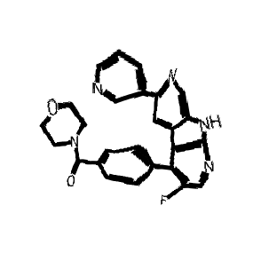 O=C(c1ccc(-c2c(F)cnc3[nH]c4cnc(-c5cccnc5)cc4c23)cc1)N1CCOCC1